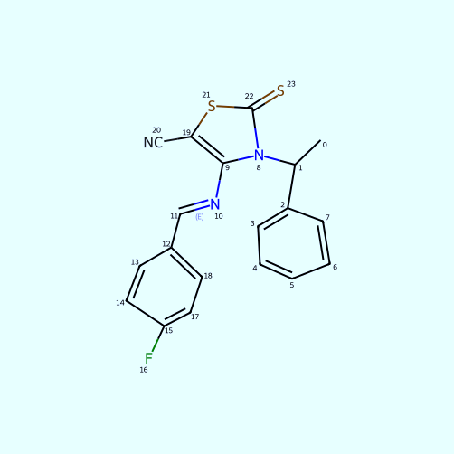 CC(c1ccccc1)n1c(/N=C/c2ccc(F)cc2)c(C#N)sc1=S